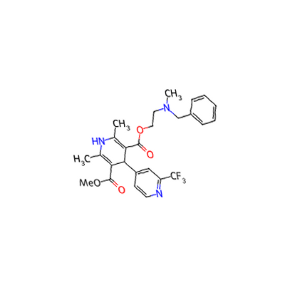 COC(=O)C1=C(C)NC(C)=C(C(=O)OCCN(C)Cc2ccccc2)C1c1ccnc(C(F)(F)F)c1